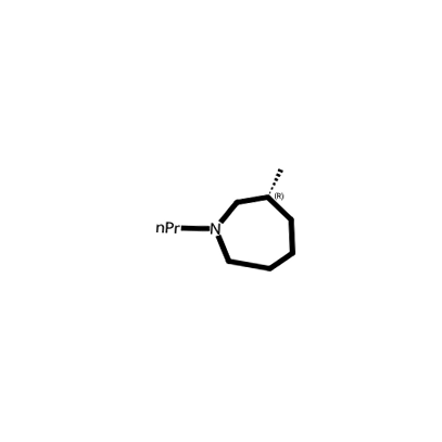 [CH2]CCN1CCCC[C@@H](C)C1